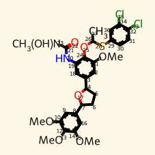 COc1cc(C2CCC(c3cc(OC)c(OC)c(OC)c3)O2)cc(NC(=O)N(C)O)c1OC(C)Sc1ccc(Cl)c(Cl)c1